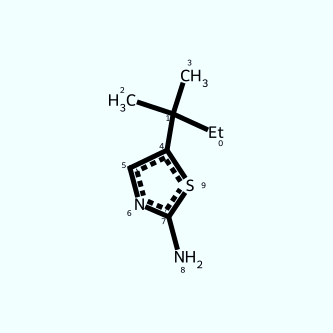 CCC(C)(C)c1cnc(N)s1